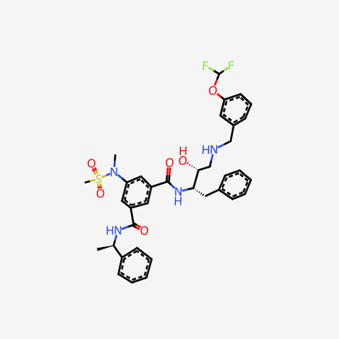 C[C@@H](NC(=O)c1cc(C(=O)N[C@@H](Cc2ccccc2)[C@H](O)CNCc2cccc(OC(F)F)c2)cc(N(C)S(C)(=O)=O)c1)c1ccccc1